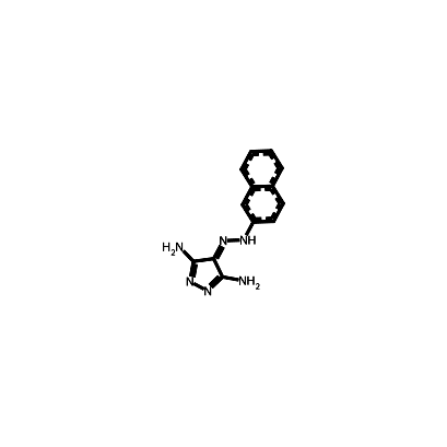 NC1=NN=C(N)C1=NNc1ccc2ccccc2c1